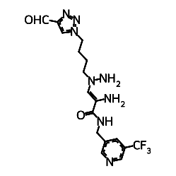 N/C(=C\N(N)CCCCn1cc(C=O)nn1)C(=O)NCc1cncc(C(F)(F)F)c1